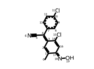 CC1=CC(=C(C#N)c2ccc(Cl)cc2)C(Cl)=CC1=NO